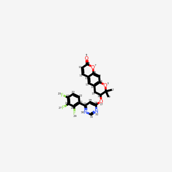 CC1(C)Oc2cc3oc(=O)ccc3cc2CC1Oc1cc(-c2ccc(F)c(F)c2F)ncn1